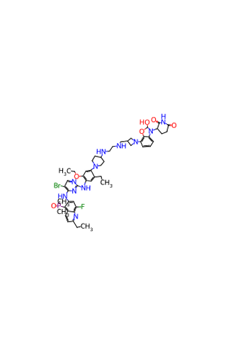 CCOc1cc(N2CCC(NCCNCC3CN(c4cccc5c4OC(O)N5C4CCC(=O)NC4=O)C3)CC2)c(CC)cc1Nc1ncc(Br)c(Nc2cc(F)c3nc(CC)ccc3c2P(C)(C)=O)n1